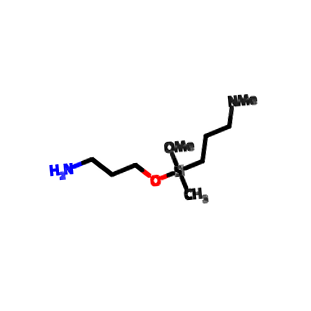 CNCCC[Si](C)(OC)OCCCN